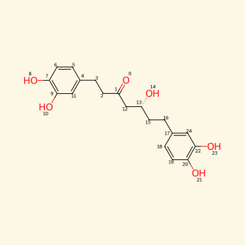 O=C(CCc1ccc(O)c(O)c1)C[C@H](O)CCc1ccc(O)c(O)c1